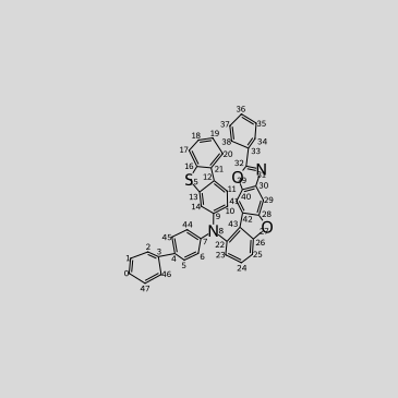 c1ccc(-c2ccc(N(c3ccc4c(c3)sc3ccccc34)c3cccc4oc5cc6nc(-c7ccccc7)oc6cc5c34)cc2)cc1